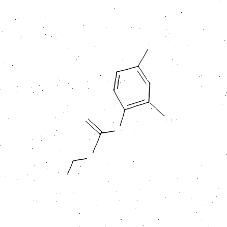 CCOC(=O)Oc1ccc(F)cc1Br